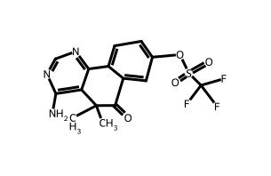 CC1(C)C(=O)c2cc(OS(=O)(=O)C(F)(F)F)ccc2-c2ncnc(N)c21